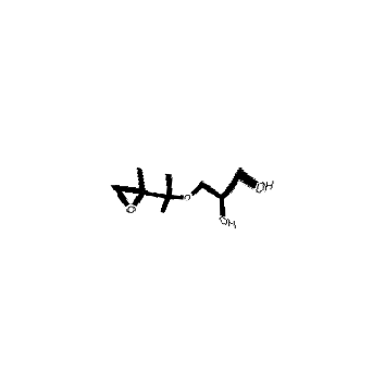 CC(C)(OCC(O)CO)C1(C)CO1